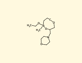 CCO[Si]1(C)CCCOCC(CN2CCOCC2)O1